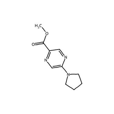 COC(=O)c1cnc(N2CCCC2)cn1